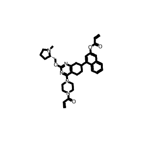 C=CC(=O)Oc1cc(C2CCc3c(nc(OC[C@@H]4CCCN4C)nc3N3CCN(C(=O)C=C)CC3)C2)c2ccccc2c1